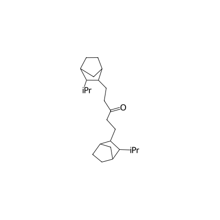 CC(C)C1C2CCC(C2)C1CCC(=O)CCC1C2CCC(C2)C1C(C)C